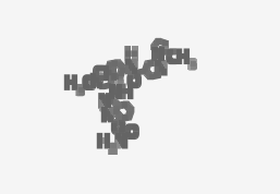 CC1CCCN1c1cc(C(=O)Nc2cccc(C(CN(C)C)Nc3ncnc4c(OC(N)=O)cccc34)c2)ccn1